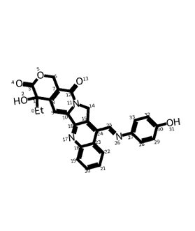 CCC1(O)C(=O)OCc2c1cc1n(c2=O)Cc2c-1nc1ccccc1c2C=Nc1ccc(O)cc1